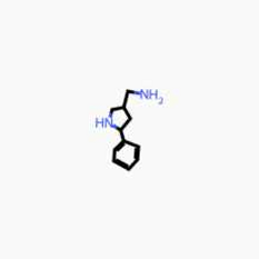 NCC1CNC(c2ccccc2)C1